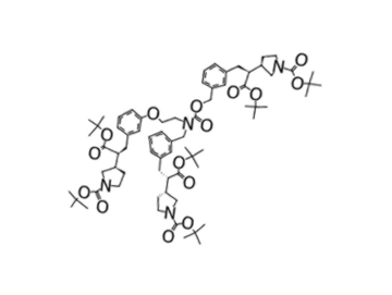 CC(C)(C)OC(=O)[C@@H](Cc1cccc(COC(=O)N(CCOc2cccc(C[C@H](C(=O)OC(C)(C)C)[C@H]3CCN(C(=O)OC(C)(C)C)C3)c2)Cc2cccc(C[C@H](C(=O)OC(C)(C)C)[C@H]3CCN(C(=O)OC(C)(C)C)C3)c2)c1)[C@H]1CCN(C(=O)OC(C)(C)C)C1